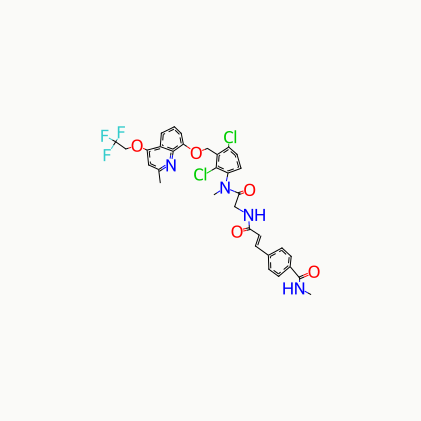 CNC(=O)c1ccc(C=CC(=O)NCC(=O)N(C)c2ccc(Cl)c(COc3cccc4c(OCC(F)(F)F)cc(C)nc34)c2Cl)cc1